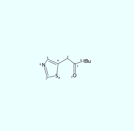 CC(C)(C)C(=O)Cc1cncs1